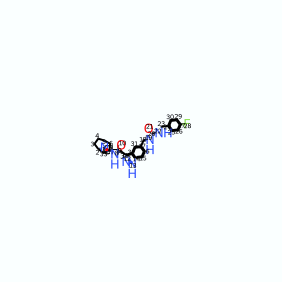 CN1C2CCC1CC(NC(=O)c1n[nH]c3ccc(CNC(=O)NCc4ccc(F)cc4)cc13)C2